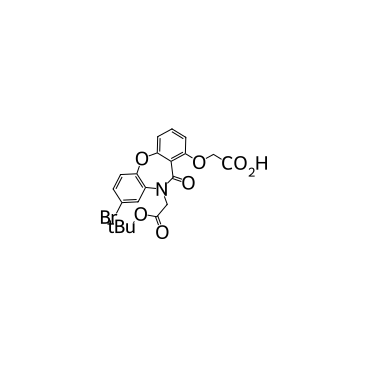 CC(C)(C)OC(=O)CN1C(=O)c2c(OCC(=O)O)cccc2Oc2ccc(Br)cc21